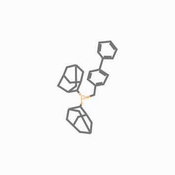 c1ccc(-c2ccc(CP(C3C4CC5CC(C4)CC3C5)C3C4CC5CC(C4)CC3C5)cc2)cc1